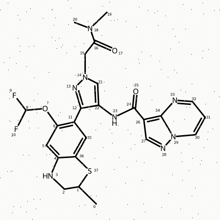 CC1CNc2cc(OC(F)F)c(-c3nn(CC(=O)N(C)C)cc3NC(=O)c3cnn4cccnc34)cc2S1